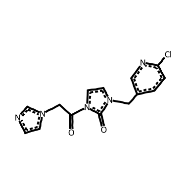 O=C(Cn1ccnc1)n1ccn(Cc2ccc(Cl)nc2)c1=O